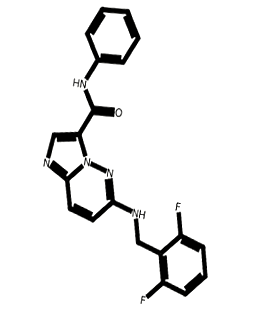 O=C(Nc1ccccc1)c1cnc2ccc(NCc3c(F)cccc3F)nn12